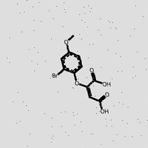 COc1ccc(O/C(=C/C(=O)O)C(=O)O)c(Br)c1